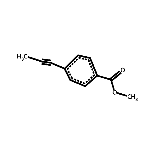 CC#Cc1ccc(C(=O)OC)cc1